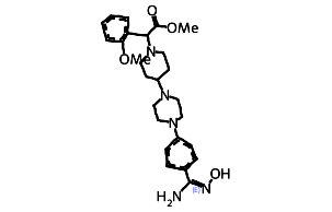 COC(=O)C(c1ccccc1OC)N1CCC(N2CCN(c3ccc(/C(N)=N\O)cc3)CC2)CC1